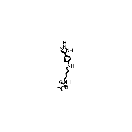 CC(C)S(=O)(=O)NCCCCCNc1ccc(C2=CSNN2)cc1